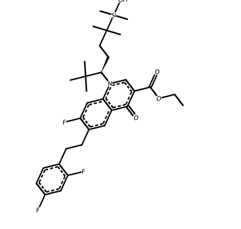 CCOC(=O)c1cn([C@H](CCC(C)(C)[Si](C)(C)O)C(C)(C)C)c2cc(F)c(CCc3ccc(F)cc3F)cc2c1=O